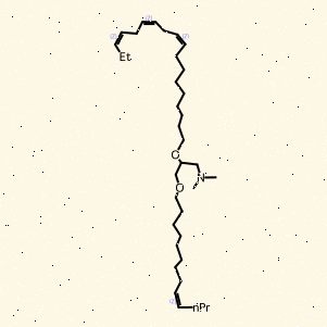 CC/C=C\C/C=C\C/C=C\CCCCCCCCOC(COCCCCCCCC/C=C\CCC)CN(C)C